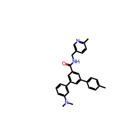 Cc1ccc(-c2cc(C(=O)NCc3ccc(C)nc3)cc(-c3cccc(N(C)C)c3)c2)cc1